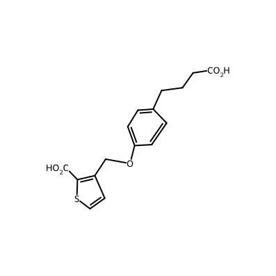 O=C(O)CCCc1ccc(OCc2ccsc2C(=O)O)cc1